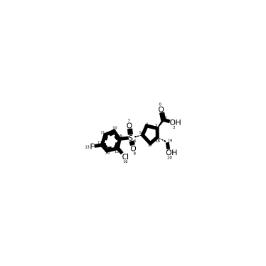 O=C(O)[C@@H]1C[C@@H](S(=O)(=O)c2ccc(F)cc2Cl)C[C@H]1CO